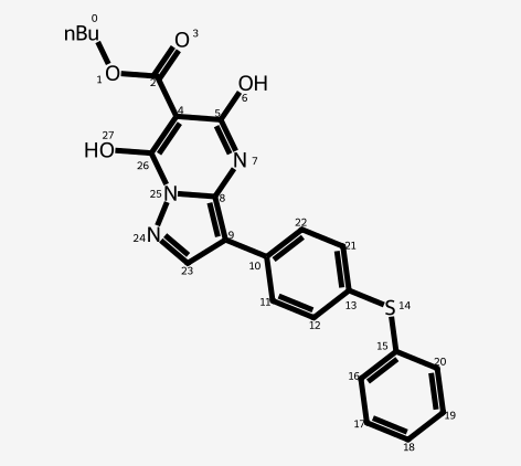 CCCCOC(=O)c1c(O)nc2c(-c3ccc(Sc4ccccc4)cc3)cnn2c1O